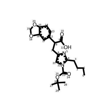 CCCCc1nc(CC(C(=O)O)c2ccc3c(c2)OCO3)cn1C(=O)OC(C)(C)C